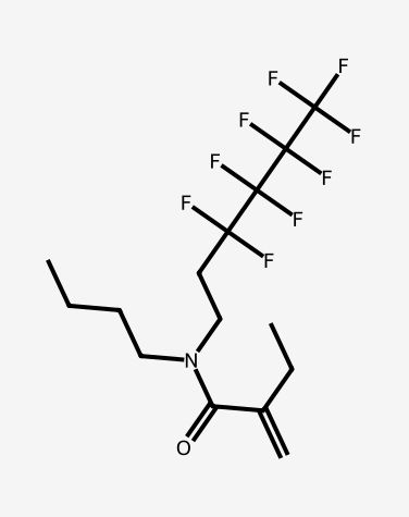 C=C(CC)C(=O)N(CCCC)CCC(F)(F)C(F)(F)C(F)(F)C(F)(F)F